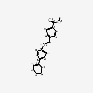 COC(=O)c1ccc(CNc2ccc(C3=CCCCC3)cc2)cc1